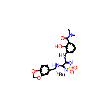 CN(C)C(=O)c1cccc(NC2=NS(=O)(=O)N=C2N[C@@H](c2ccc3c(c2)OCO3)C(C)(C)C)c1O